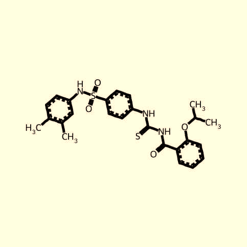 Cc1ccc(NS(=O)(=O)c2ccc(NC(=S)NC(=O)c3ccccc3OC(C)C)cc2)cc1C